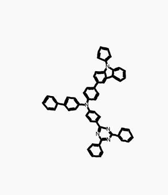 c1ccc(-c2ccc(N(c3ccc(-c4ccc5c(c4)c4ccccc4n5-c4ccccc4)cc3)c3ccc(-c4nc(-c5ccccc5)nc(-c5ccccc5)n4)cc3)cc2)cc1